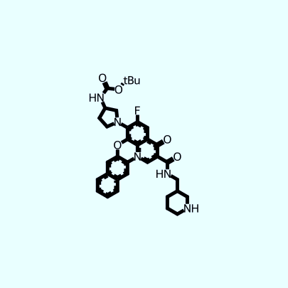 CC(C)(C)OC(=O)NC1CCN(c2c(F)cc3c(=O)c(C(=O)NCC4CCCNC4)cn4c3c2Oc2cc3ccccc3cc2-4)C1